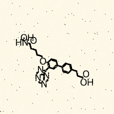 O=C(O)CCc1ccc(-c2ccc(OCCCCC(=O)NO)c(C3N4CN5CN(C4)CN3C5)c2)cc1